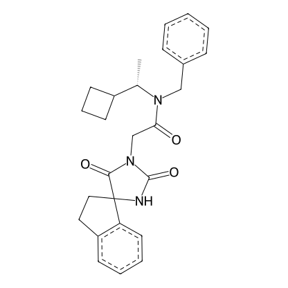 C[C@@H](C1CCC1)N(Cc1ccccc1)C(=O)CN1C(=O)NC2(CCc3ccccc32)C1=O